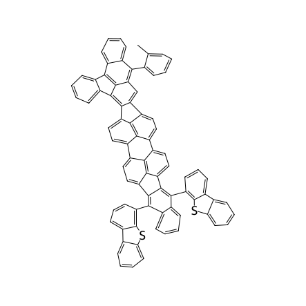 Cc1ccccc1-c1c2ccccc2c2c3ccccc3c3c4c(cc1c23)c1ccc2c3ccc5c6c(ccc(c7ccc4c1c27)c63)-c1c-5c(-c2cccc3c2sc2ccccc23)c2ccccc2c1-c1cccc2c1sc1ccccc12